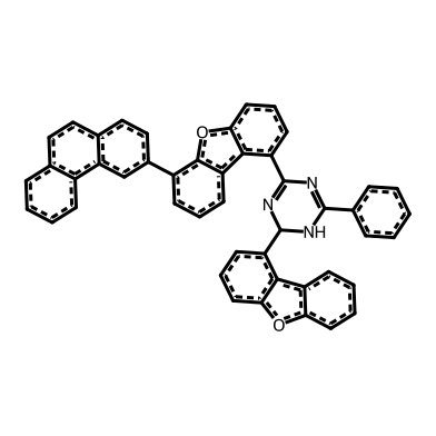 c1ccc(C2=NC(c3cccc4oc5c(-c6ccc7ccc8ccccc8c7c6)cccc5c34)=NC(c3cccc4oc5ccccc5c34)N2)cc1